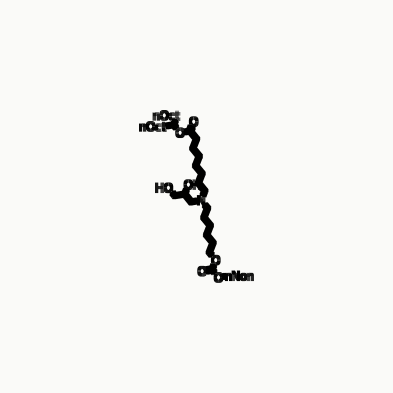 CCCCCCCCCOC(=O)OCCCCCCN(CCCCCCCC(=O)OC(CCCCCCCC)CCCCCCCC)CC(O)CO